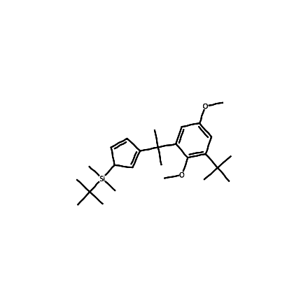 COc1cc(C(C)(C)C)c(OC)c(C(C)(C)C2=CC([Si](C)(C)C(C)(C)C)C=C2)c1